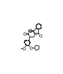 COc1ccc(C(CN2C(=O)c3ccccc3C2=O)C(N)=O)cc1OC1CCCC1